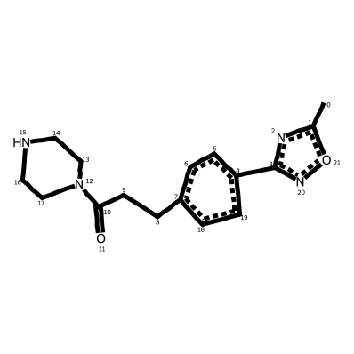 Cc1nc(-c2ccc(CCC(=O)N3CCNCC3)cc2)no1